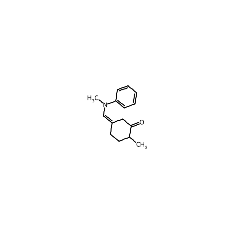 CC1CC/C(=C/N(C)c2ccccc2)CC1=O